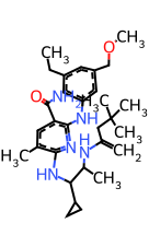 C=C(CC(C)(C)C)NC(C)C(Nc1nc(Nc2cc(CC)cc(COC)c2)c(C(N)=O)cc1C)C1CC1